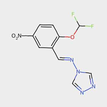 O=[N+]([O-])c1ccc(OC(F)F)c(/C=N/n2cnnc2)c1